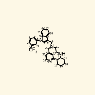 FC(F)(F)c1cccc(-n2cc(CN(CCNC3CCCCC3)Cc3ccncc3)c3ccccc32)c1